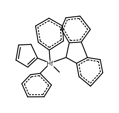 [CH3][Hf]([C]1=CC=CC1)([c]1ccccc1)([c]1ccccc1)[CH]1c2ccccc2-c2ccccc21